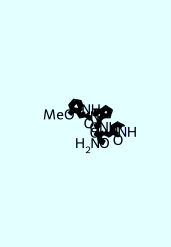 COc1cccc2[nH]c(C(=O)N3CC4CCCC4C3C(=O)NC(CC3CCCNC3=O)C(=O)C(N)=O)cc12